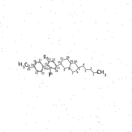 CCCCCC1CCC2CC(c3cc(F)c(-c4ccc(CC)cc4)c(F)c3)CCC2C1